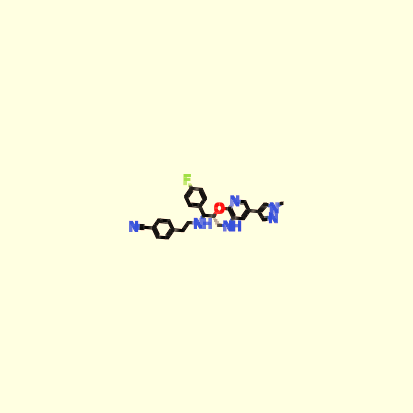 Cn1cc(-c2cnc3c(c2)NC[C@H]([C@@H](NCCc2ccc(C#N)cc2)c2ccc(F)cc2)O3)cn1